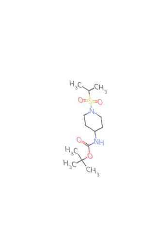 CC(C)S(=O)(=O)N1CCC(NC(=O)OC(C)(C)C)CC1